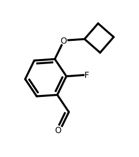 O=Cc1cccc(OC2CCC2)c1F